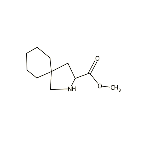 COC(=O)C1CC2(CCCCC2)CN1